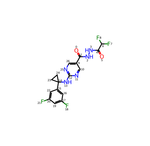 O=C(NNC(=O)C(F)F)c1cnc(NC2(c3cc(F)cc(F)c3)CC2)nc1